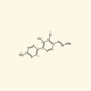 ON=Cc1ccc(-c2ccc(O)cc2)c(Cl)c1Cl